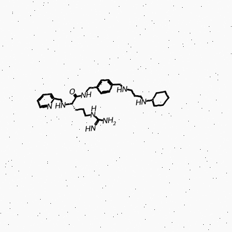 N=C(N)NCCC[C@H](NCc1ccccn1)C(=O)NCc1ccc(CNCCCNC2CCCCC2)cc1